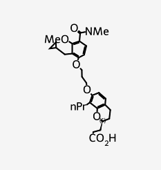 CCCc1c(OCCCOc2ccc(C(=O)NC)c(OC)c2CC2CC2)ccc2c1O[C@H](CCC(=O)O)CC2